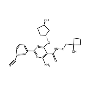 N#Cc1cccc(-c2nc(N)c(C(=O)NOCC3(O)CCC3)c(O[C@@H]3CC[C@@H](O)C3)n2)c1